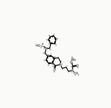 CN(CCCN1CCc2cc(CN(Cc3ccccc3)C(=O)O)ccc2C1=O)C(=O)OC(C)(C)C